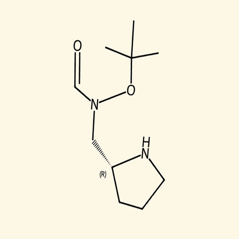 CC(C)(C)ON(C=O)C[C@H]1CCCN1